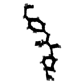 CCCCCCCCOc1ccc(/C=C(\C)C(=O)c2ccc(N)cc2)cc1